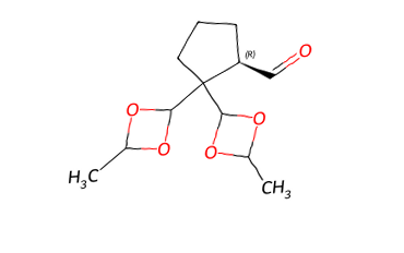 CC1OC(C2(C3OC(C)O3)CCC[C@H]2C=O)O1